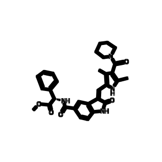 COC(=O)[C@@H](NC(=O)c1ccc2c(c1)C(=Cc1[nH]c(C)c(C(=O)N3CCCCC3)c1C)C(=O)N2)c1ccccc1